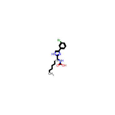 CCCCCC[C@@H](NC(=O)O)c1nc(-c2cccc(Br)c2)c[nH]1